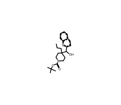 CCCC1(C(O)c2ccc3ccccc3n2)CCN(C(=O)OC(C)(C)C)CC1